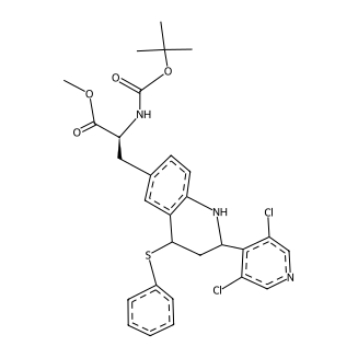 COC(=O)[C@H](Cc1ccc2c(c1)C(Sc1ccccc1)CC(c1c(Cl)cncc1Cl)N2)NC(=O)OC(C)(C)C